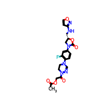 CC(=O)OCC(=O)N1CCN(c2ccc(N3C[C@H](CNc4ccon4)OC3=O)cc2F)C=N1